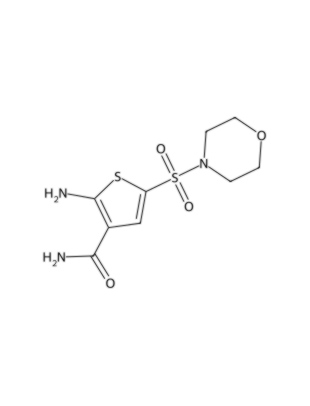 NC(=O)c1cc(S(=O)(=O)N2CCOCC2)sc1N